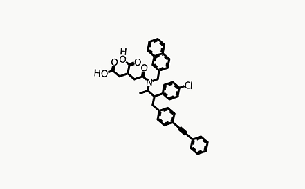 CC(C(Cc1ccc(C#Cc2ccccc2)cc1)c1ccc(Cl)cc1)N(Cc1ccc2ccccc2c1)C(=O)CC(CC(=O)O)C(=O)O